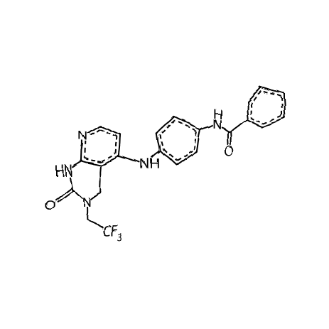 O=C(Nc1ccc(Nc2ccnc3c2CN(CC(F)(F)F)C(=O)N3)cc1)c1ccccc1